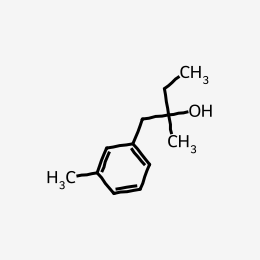 CCC(C)(O)Cc1cccc(C)c1